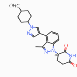 Cc1nn([C@@H]2CCC(=O)NC2=O)c2cccc(-c3cnn(C4CCC(C=O)CC4)c3)c12